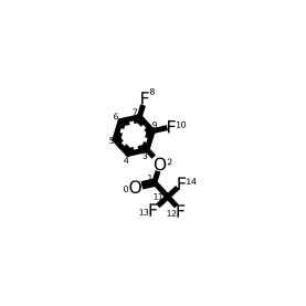 O=C(Oc1cccc(F)c1F)C(F)(F)F